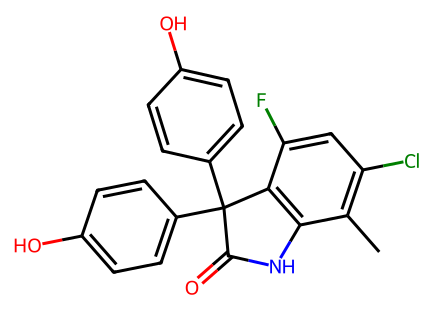 Cc1c(Cl)cc(F)c2c1NC(=O)C2(c1ccc(O)cc1)c1ccc(O)cc1